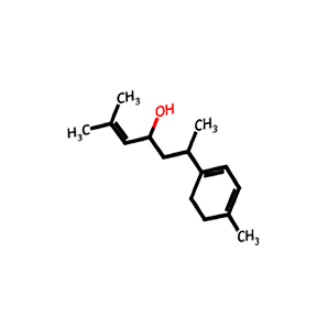 CC(C)=CC(O)CC(C)C1=CC=C(C)CC1